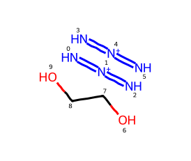 N=[N+]=N.N=[N+]=N.OCCO